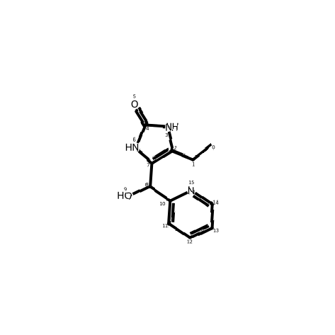 CCc1[nH]c(=O)[nH]c1C(O)c1ccccn1